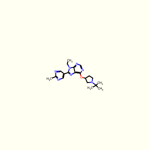 CCn1c(-c2cnc(C)nc2)nc2c(OC3CCN(C(C)(C)C)C3)ncnc21